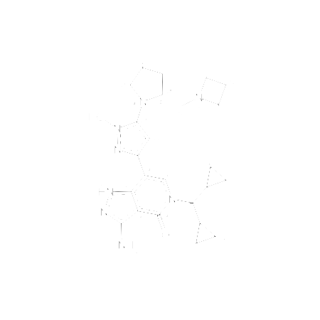 Cn1nc(-c2cn(C(C3CC3)C3CC3)c(=O)c3c(N)n[nH]c23)cc1N1CCC[C@@H]1CN1CCC1